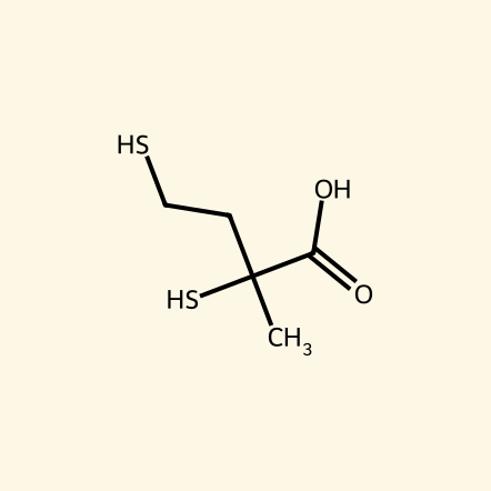 CC(S)(CCS)C(=O)O